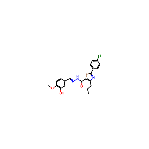 CCCc1nc(-c2ccc(Cl)cc2)sc1C(=O)N/N=C/c1ccc(OC)c(O)c1